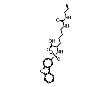 C=CCNC(=O)NCCCCC(NS(=O)(=O)c1ccc2oc3ccccc3c2c1)C(=O)O